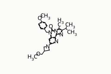 COCC1CN(c2cnc3c(c2)n(Cc2ccc(OC)cc2)c(=O)n2c(C)c(C(C)C)nc32)C1